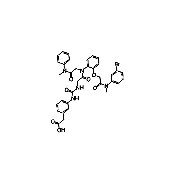 CN(C(=O)COc1ccccc1N(CC(=O)N(C)c1ccccc1)C(=O)CNC(=O)Nc1cccc(CC(=O)O)c1)c1cccc(Br)c1